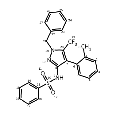 Cc1ccccc1-c1c(NS(=O)(=O)c2ccccc2)nn(Cc2ccccc2)c1C(F)(F)F